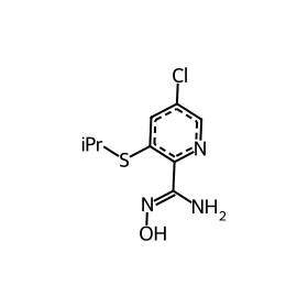 CC(C)Sc1cc(Cl)cnc1C(N)=NO